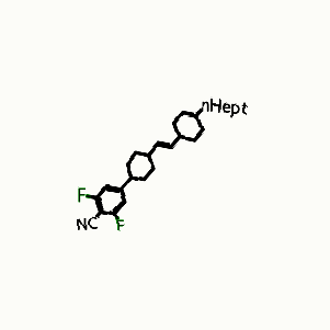 CCCCCCCC1CCC(C=CC2CCC(c3cc(F)c(C#N)c(F)c3)CC2)CC1